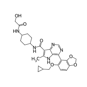 Cc1[nH]c2c(-c3c(OCC4CC4)ccc4c3OCO4)ncnc2c1C(=O)NC1CCC(NC(=O)CO)CC1